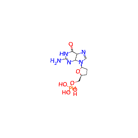 NC1=NC2C(N=CN2[C@H]2CC[C@@H](CO[PH](O)(O)O)O2)C(=O)N1